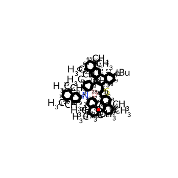 Cc1cc2c3c(c1)N(c1ccc4c(c1)C(C)(C)CCC4(C)C)c1cc4c(cc1B3c1c(sc3cc5c(cc13)C(C)(C)CCC5(C)C)C(c1ccc(C(C)(C)C)cc1-c1cc3c(cc1C)C(C)(C)CCC3(C)C)=C2)C(C)(C)CCC4(C)C